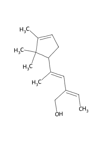 CC=C(C=C(C)C1CC=C(C)C1(C)C)CO